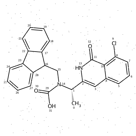 C[C@@H](c1cc2cccc(Cl)c2c(=O)[nH]1)N(CC1c2ccccc2-c2ccccc21)C(=O)O